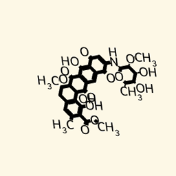 COC(=O)c1c(C)cc2c(c1O)[C@@]1(O)C(=O)c3cc4c(c(O)c3C(=O)[C@@]1(OC)CC2)C(=O)C=C(N[C@H]1O[C@@H](C)[C@H](O)[C@@H](O)[C@H]1OC)C4=O